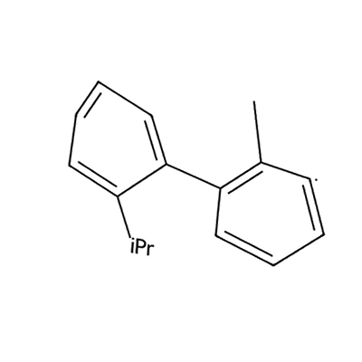 Cc1[c]cccc1-c1ccccc1C(C)C